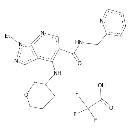 CCn1ncc2c(NC3CCCOC3)c(C(=O)NCc3ccccn3)cnc21.O=C(O)C(F)(F)F